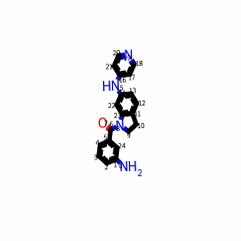 Nc1cccc(C(=O)N2CCc3ccc(Nc4ccncc4)cc32)c1